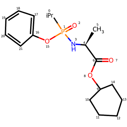 CC(C)P(=O)(N[C@@H](C)C(=O)OC1CCCCC1)Oc1ccccc1